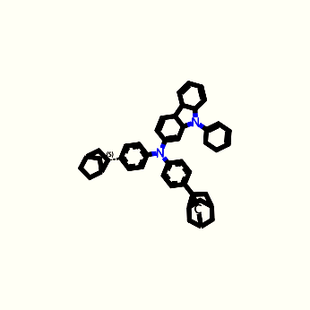 C1=CCCC(N2C3C=CC=CC3C3C=CC(N(c4ccc([C@H]5CC6CCC5C6)cc4)c4ccc(C56CC7CC(CC5C7)C6)cc4)=CC32)=C1